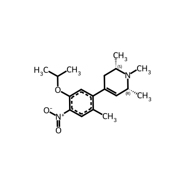 Cc1cc([N+](=O)[O-])c(OC(C)C)cc1C1=C[C@@H](C)N(C)[C@@H](C)C1